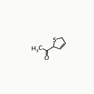 CC(=O)[C]1C=CCS1